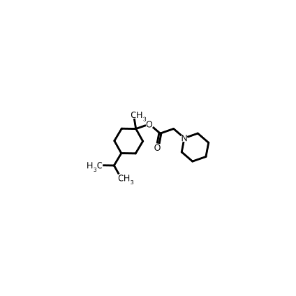 CC(C)C1CCC(C)(OC(=O)CN2CCCCC2)CC1